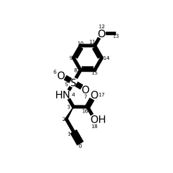 C#CC[C@@H](NS(=O)(=O)c1ccc(OC)cc1)C(=O)O